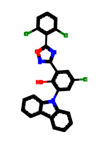 Oc1c(-c2noc(-c3c(Cl)cccc3Cl)n2)cc(Cl)cc1-n1c2ccccc2c2ccccc21